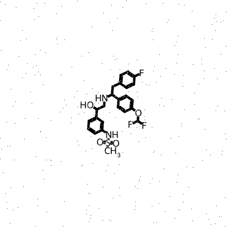 CS(=O)(=O)Nc1cccc(C(O)CNC(Cc2ccc(F)cc2)c2ccc(OC(F)F)cc2)c1